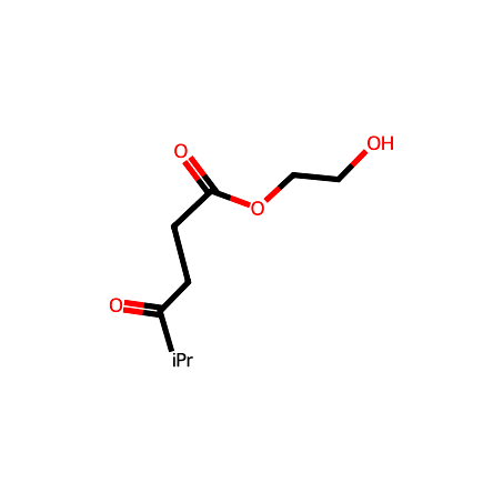 CC(C)C(=O)CCC(=O)OCCO